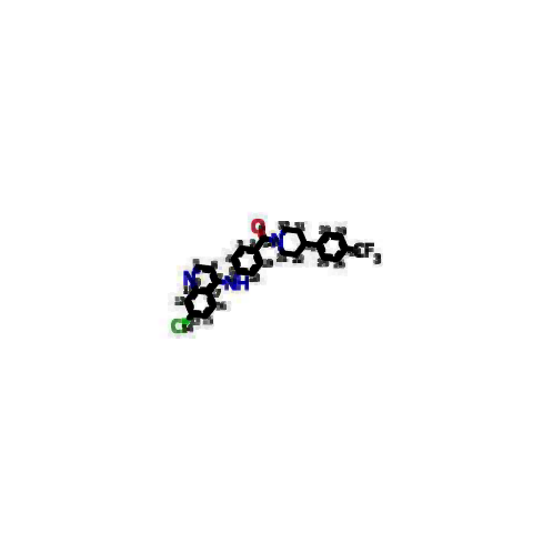 O=C(c1ccc(Nc2ccnc3cc(Cl)ccc23)cc1)N1CCC(c2ccc(C(F)(F)F)cc2)CC1